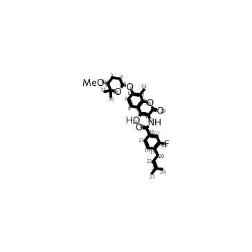 CO[C@@H]1CC[C@H](Oc2ccc3c(O)c(NC(=O)c4ccc(CC=C(C)C)c(F)c4)c(=O)oc3c2C)OC1(C)C